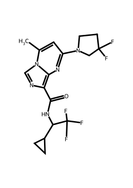 Cc1cc(N2CCC(F)(F)C2)nc2c(C(=O)NC(C3CC3)C(F)(F)F)ncn12